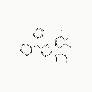 FOB(OF)c1ccc(F)c(F)c1F.c1ccc(C(c2ccccc2)c2ccccc2)cc1